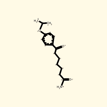 CC(C)Oc1ccc(C(=O)CCCCCC(N)=O)cc1